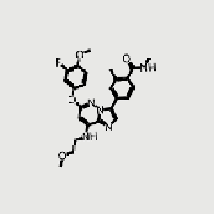 CNC(=O)c1ccc(-c2cnc3c(NCCOC)cc(Oc4ccc(OC)c(F)c4)nn23)cc1C